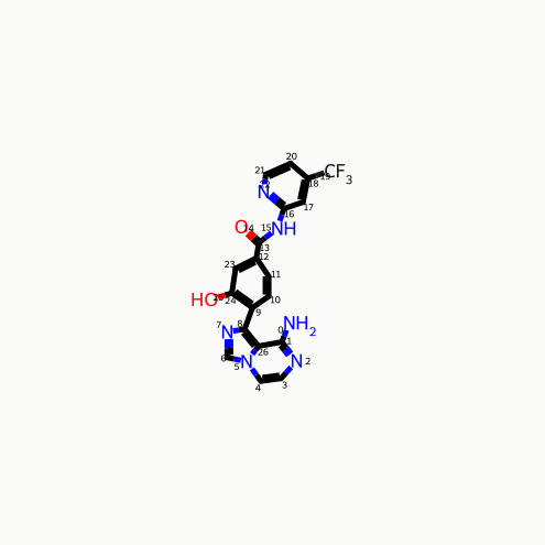 Nc1nccn2cnc(-c3ccc(C(=O)Nc4cc(C(F)(F)F)ccn4)cc3O)c12